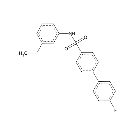 CCc1cccc(NS(=O)(=O)c2ccc(-c3ccc(F)cc3)cc2)c1